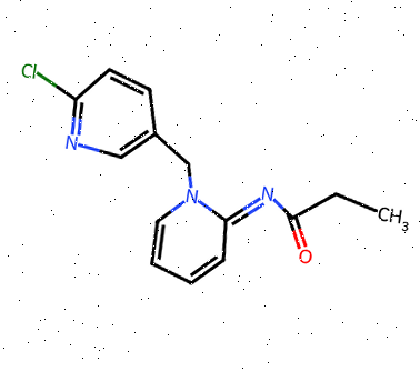 CCC(=O)N=c1ccccn1Cc1ccc(Cl)nc1